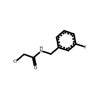 O=C(CCl)NCc1cccc(F)c1